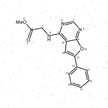 COC(=O)CNc1ncnc2oc(-c3ccccc3)cc12